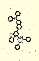 c1ccc(-c2nc(-c3ccccc3)nc(-c3cc(-c4ccc5ccc(N(c6ccccc6)c6ccccc6)cc5c4)cc4oc5ccccc5c34)n2)cc1